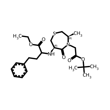 CCOC(=O)C(CCc1ccccc1)N[C@H]1CSC[C@@H](C)N(CC(=O)OC(C)(C)C)C1=O